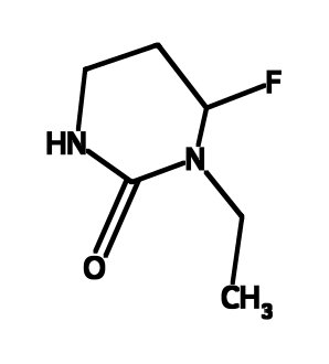 CCN1C(=O)NCCC1F